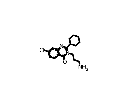 NCCCn1c(C2CCCCC2)nc2cc(Cl)ccc2c1=O